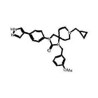 COc1cccc(CN2C(=O)N(c3ccc(-c4cn[nH]c4)cc3)CC23CCN(CC2CC2)CC3)c1